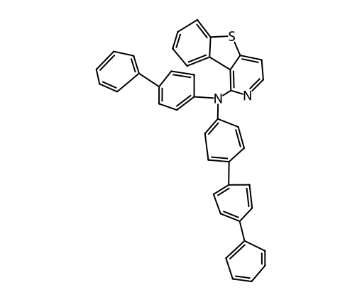 c1ccc(-c2ccc(-c3ccc(N(c4ccc(-c5ccccc5)cc4)c4nccc5sc6ccccc6c45)cc3)cc2)cc1